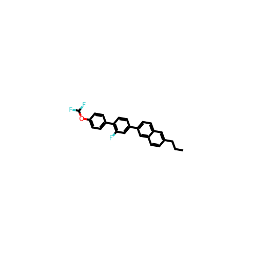 CCCc1ccc2cc(-c3ccc(-c4ccc(OC(F)F)cc4)c(F)c3)ccc2c1